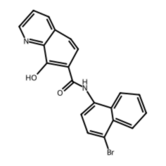 O=C(Nc1ccc(Br)c2ccccc12)c1ccc2cccnc2c1O